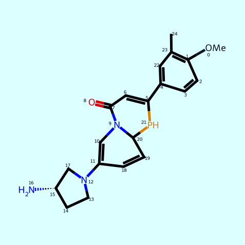 COc1ccc(C2=CC(=O)N3C=C(N4CC[C@H](N)C4)C=CC3P2)cc1C